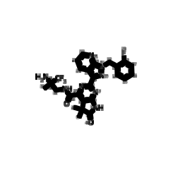 CC1(C)C(=O)Nc2nc(-c3nn(Cc4ccccc4F)c4ncccc34)nc(C(=O)NCC(C)(N)C(F)(F)F)c21